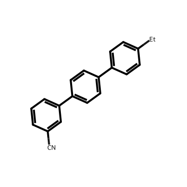 CCc1ccc(-c2ccc(-c3cccc(C#N)c3)cc2)cc1